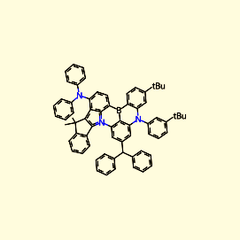 CC(C)(C)c1cccc(N2c3cc(C(C)(C)C)ccc3B3c4c2cc(C(c2ccccc2)c2ccccc2)cc4-n2c4c(c5c(N(c6ccccc6)c6ccccc6)ccc3c52)C(C)(C)c2ccccc2-4)c1